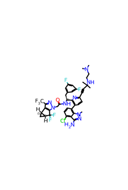 CN(C)CCNC(C)(C)C#Cc1ccc(-c2ccc(Cl)c3c(N)nn(C)c23)c([C@H](Cc2cc(F)cc(F)c2)NC(=O)Cn2nc(C(F)(F)F)c3c2C(F)(F)[C@@H]2C[C@H]32)n1